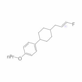 CCCOc1ccc(C2CCC(C/C=C/F)CC2)cc1